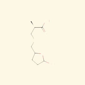 C[C@H](CSCC1CCC(O)O1)C(=O)O